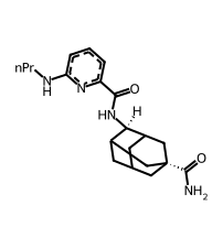 CCCNc1cccc(C(=O)N[C@H]2C3CC4CC2C[C@](C(N)=O)(C4)C3)n1